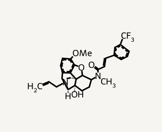 C=CCN1CC[C@]23c4c5ccc(OC)c4OC2C(N(C)C(=O)/C=C/c2cccc(C(F)(F)F)c2)CC[C@@]3(O)[C@H]1C5